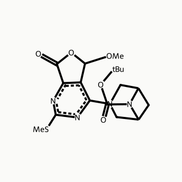 COC1OC(=O)c2nc(SC)nc(N3CC4CC(C3)N4C(=O)OC(C)(C)C)c21